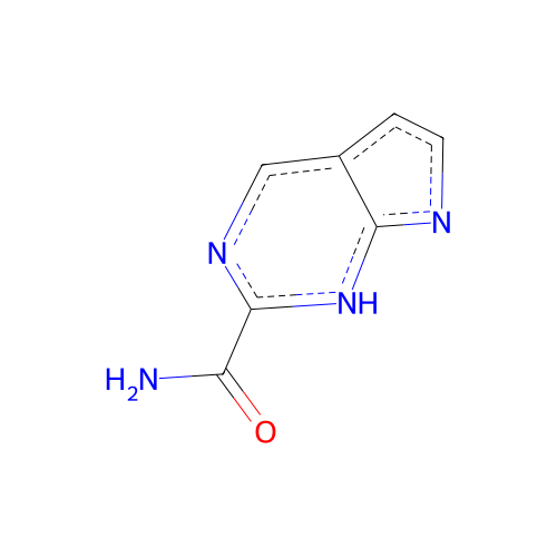 NC(=O)c1ncc2ccnc-2[nH]1